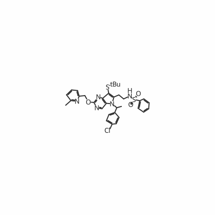 Cc1cccc(COc2ncc3c(n2)c(SC(C)(C)C)c(CCNS(=O)(=O)c2ccccc2)n3C(C)c2ccc(Cl)cc2)n1